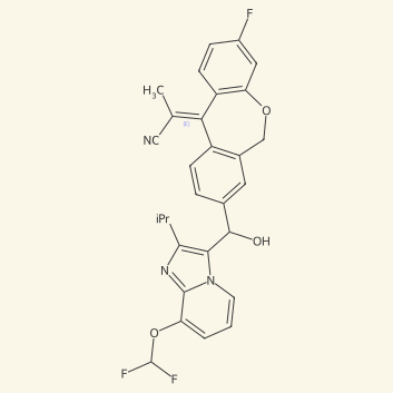 C/C(C#N)=C1/c2ccc(C(O)c3c(C(C)C)nc4c(OC(F)F)cccn34)cc2COc2cc(F)ccc21